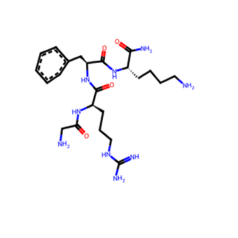 N=C(N)NCCC[C@@H](NC(=O)CN)C(=O)N[C@@H](Cc1ccccc1)C(=O)N[C@@H](CCCCN)C(N)=O